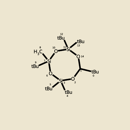 CC(C)(C)C1O[Si](C(C)(C)C)(C(C)(C)C)O[Si](C)(C(C)(C)C)O[Si](C(C)(C)C)(C(C)(C)C)O1